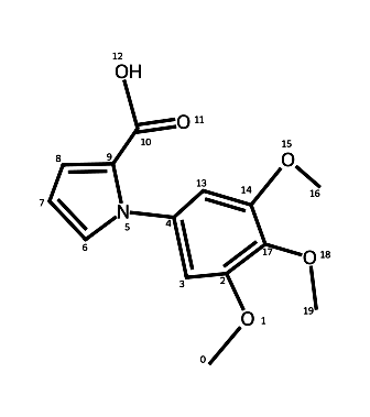 COc1cc(-n2cccc2C(=O)O)cc(OC)c1OC